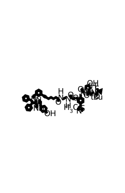 Cc1ncsc1-c1ccc(CNC(=O)[C@@H]2C[C@@H](O)CN2C(=O)[C@@H](NC(=O)C2(F)CC2)C(C)(C)C)c(OCC(=O)NCCNC(=O)CCCCC#Cc2cccc(Cn3c(-c4ccccc4)c(-c4ccccc4)c4c(=N)n(C5CCC(O)CC5)cnc43)c2)c1